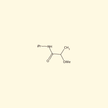 COC(C)C(=O)NC(C)C